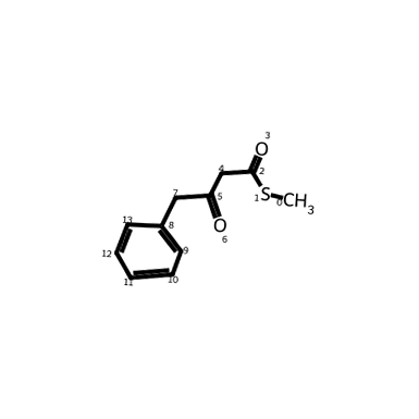 CSC(=O)CC(=O)Cc1ccccc1